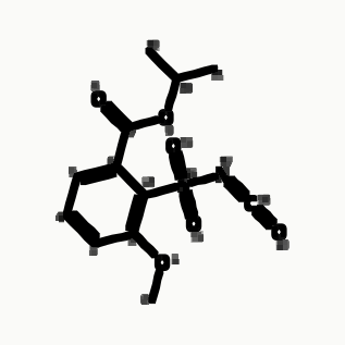 COc1cccc(C(=O)OC(C)C)c1S(=O)(=O)N=C=O